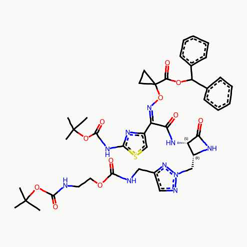 CC(C)(C)OC(=O)NCCOC(=O)NCc1cnn(C[C@H]2NC(=O)[C@H]2NC(=O)C(=NOC2(C(=O)OC(c3ccccc3)c3ccccc3)CC2)c2csc(NC(=O)OC(C)(C)C)n2)n1